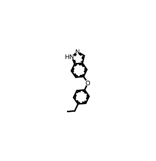 CCc1ccc(Oc2ccc3[nH]ncc3c2)cc1